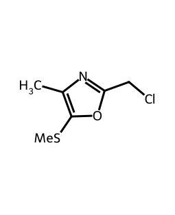 CSc1oc(CCl)nc1C